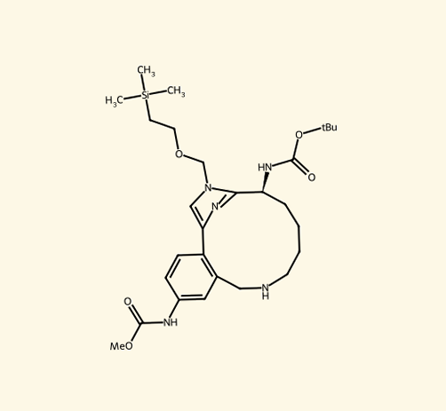 COC(=O)Nc1ccc2c(c1)CNCCCC[C@H](NC(=O)OC(C)(C)C)c1nc-2cn1COCC[Si](C)(C)C